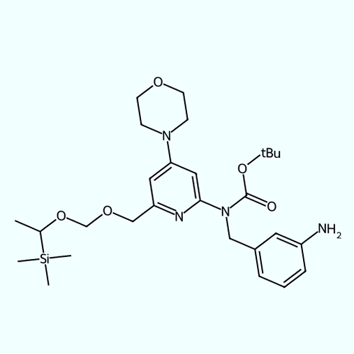 CC(OCOCc1cc(N2CCOCC2)cc(N(Cc2cccc(N)c2)C(=O)OC(C)(C)C)n1)[Si](C)(C)C